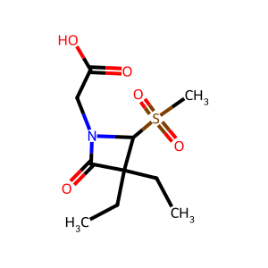 CCC1(CC)C(=O)N(CC(=O)O)C1S(C)(=O)=O